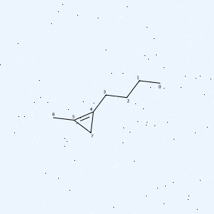 CCCCC1=C(C)C1